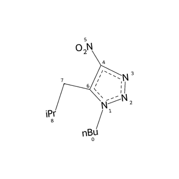 CCCCn1nnc([N+](=O)[O-])c1CC(C)C